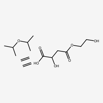 C=C.C=C.CC(C)OC(C)C.O=C(CC(O)C(=O)O)OCCO